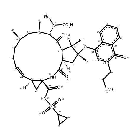 CCC(C)N(C(=O)O)[C@@H]1C(=O)N2[C@@H](C[C@@](C)(Oc3nn(CCOC)c(=O)c4ccccc34)C2(F)F)C(=O)N[C@]2(C(=O)NS(=O)(=O)C3CC3)C[C@H]2/C=C\CC[C@@H](C)C[C@H]1C